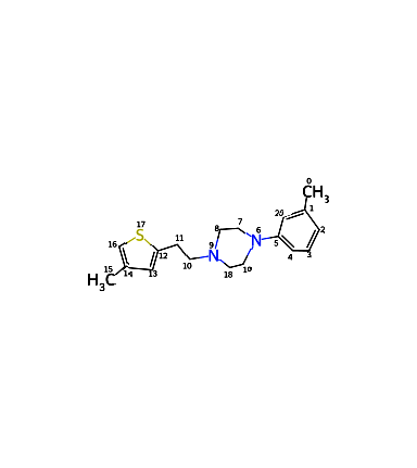 Cc1cccc(N2CCN(CCc3cc(C)cs3)CC2)c1